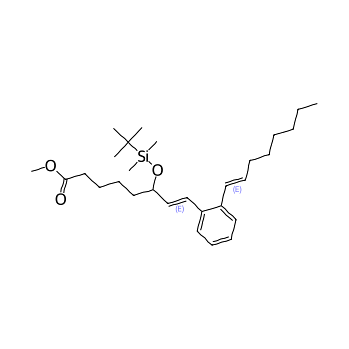 CCCCCC/C=C/c1ccccc1/C=C/C(CCCCC(=O)OC)O[Si](C)(C)C(C)(C)C